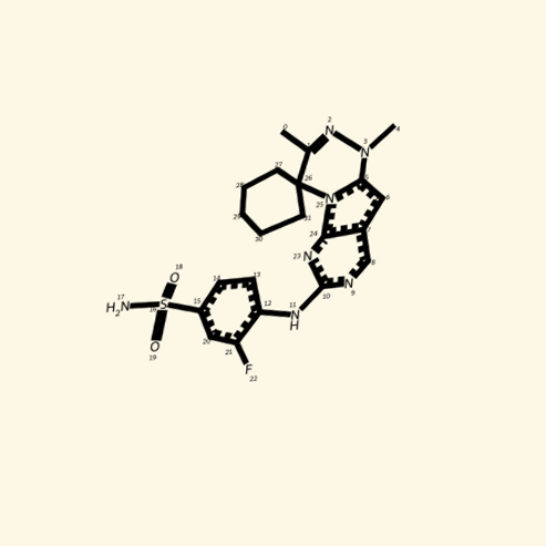 CC1=NN(C)c2cc3cnc(Nc4ccc(S(N)(=O)=O)cc4F)nc3n2C12CCCCC2